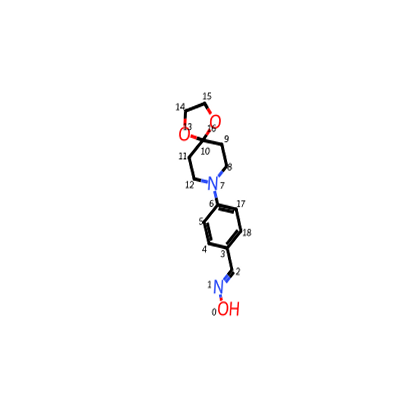 O/N=C/c1ccc(N2CCC3(CC2)OCCO3)cc1